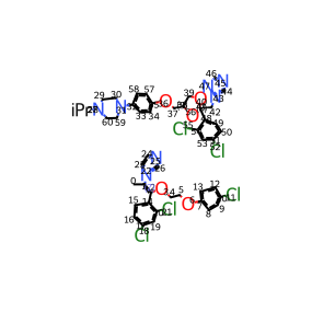 C/C(=C(/OCCOc1ccc(Cl)cc1)c1ccc(Cl)cc1Cl)n1ccnc1.CC(C)N1CCN(c2ccc(OC[C@H]3CO[C@](Cn4cncn4)(c4ccc(Cl)cc4Cl)O3)cc2)CC1